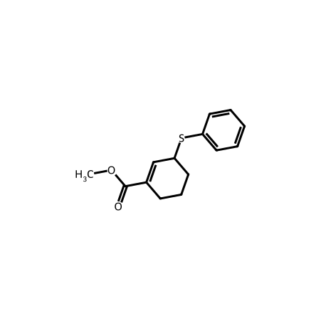 COC(=O)C1=CC(Sc2ccccc2)CCC1